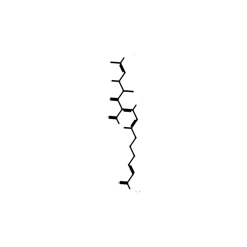 CCCCCC(C)=CC(O)C(C)C(=O)c1c(O)cc(CCC/C=C/C(=O)OC)oc1=O